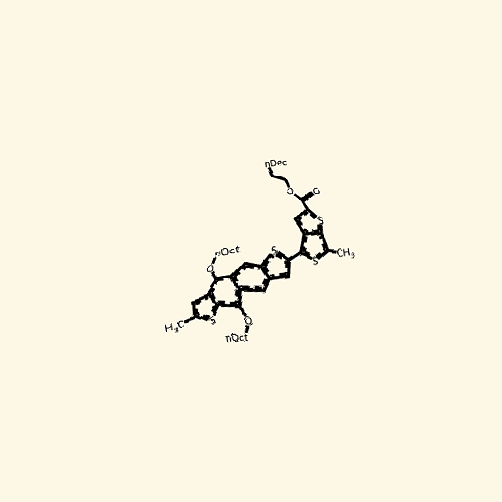 CCCCCCCCCCCCOC(=O)c1cc2c(-c3cc4cc5c(OCCCCCCCC)c6sc(C)cc6c(OCCCCCCCC)c5cc4s3)sc(C)c2s1